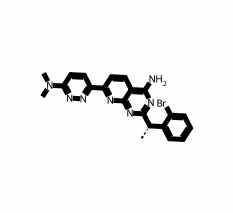 C[C@H](c1nc(N)c2ccc(-c3ccc(N(C)C)nn3)nc2n1)c1ccccc1Br